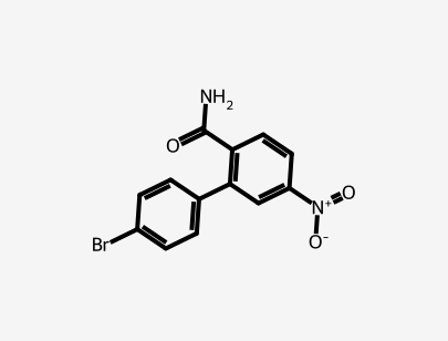 NC(=O)c1ccc([N+](=O)[O-])cc1-c1ccc(Br)cc1